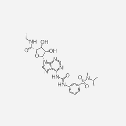 CCNC(=O)[C@H]1O[C@@H](n2cnc3c(NC(=O)Nc4cccc(S(=O)(=O)N(C)C(C)C)c4)ncnc32)[C@H](O)[C@@H]1O